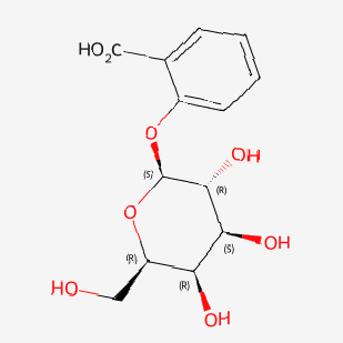 O=C(O)c1ccccc1O[C@@H]1O[C@H](CO)[C@H](O)[C@H](O)[C@H]1O